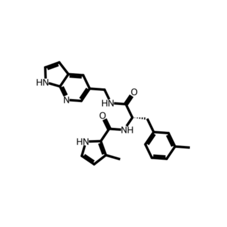 Cc1cccc(C[C@H](NC(=O)c2[nH]ccc2C)C(=O)NCc2cnc3[nH]ccc3c2)c1